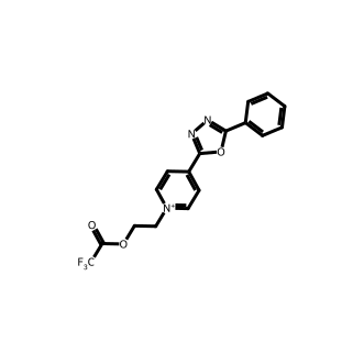 O=C(OCC[n+]1ccc(-c2nnc(-c3ccccc3)o2)cc1)C(F)(F)F